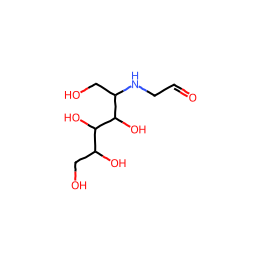 O=CCNC(CO)C(O)C(O)C(O)CO